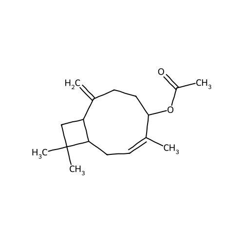 C=C1CCC(OC(C)=O)C(C)=CCC2C1CC2(C)C